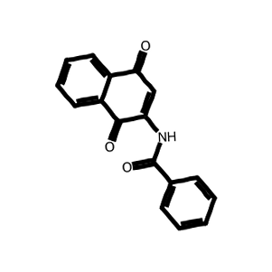 O=C(NC1=CC(=O)c2ccccc2C1=O)c1ccccc1